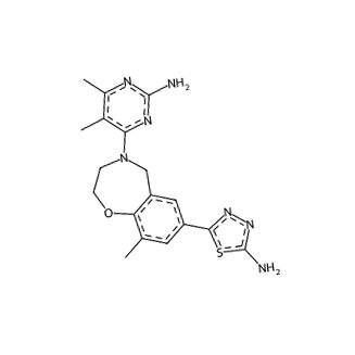 Cc1cc(-c2nnc(N)s2)cc2c1OCCN(c1nc(N)nc(C)c1C)C2